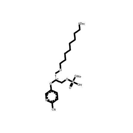 CCCCCCCCCCCCCCCCCCOC[C@H](COP(=O)(O)OC)Oc1ccc(C#N)nc1